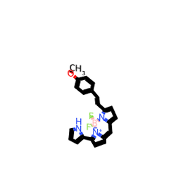 COc1ccc(/C=C/c2ccc3n2[B-](F)(F)[N+]2=C(c4ccc[nH]4)C=CC2=C3)cc1